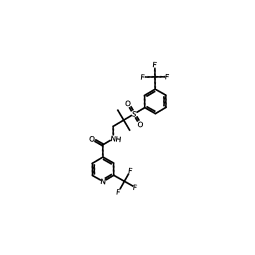 CC(C)(CNC(=O)c1ccnc(C(F)(F)F)c1)S(=O)(=O)c1cccc(C(F)(F)F)c1